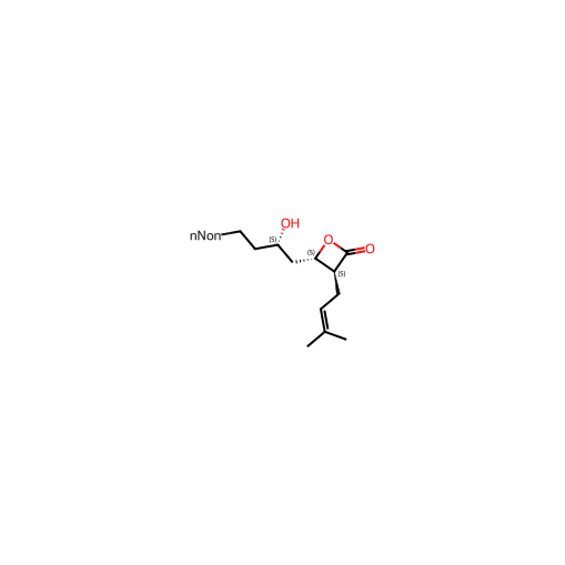 CCCCCCCCCCC[C@H](O)C[C@@H]1OC(=O)[C@H]1CC=C(C)C